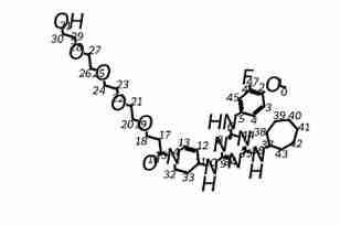 COc1ccc(Nc2nc(NC3C=CN(C(=O)CCOCCOCCOCCOCCO)CC3)nc(NC3CCCCCC3)n2)cc1F